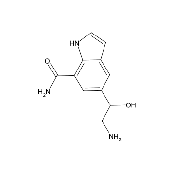 NCC(O)c1cc(C(N)=O)c2[nH]ccc2c1